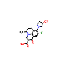 C=C1CCc2c(N3CCC(O)C3)c(F)cc3c(=O)c(C(=O)O)cn1c23